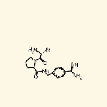 CC[C@@H](N)C(=O)N1CCCC1C(=O)NCc1ccc(C(=N)N)cc1